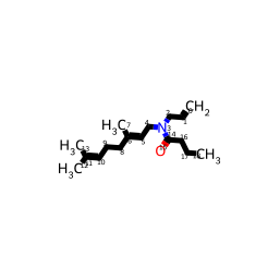 C=CCN(C/C=C(\C)CCC=C(C)C)C(=O)CCC